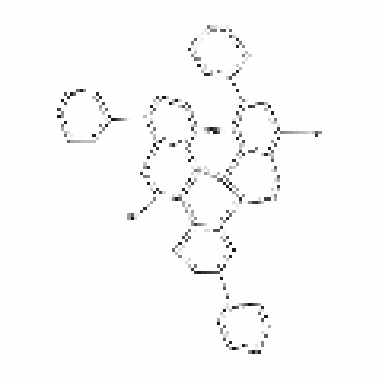 Brc1cc(-c2ccccc2)c2c3ccc(-c4ccccc4)c4cc(Br)c5c6ccc(-c7ccccc7)cc6c6ccc1c2c6c5c43